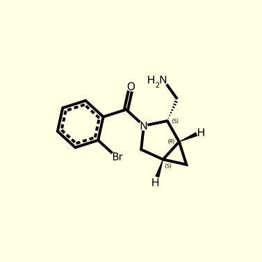 NC[C@@H]1[C@@H]2C[C@@H]2CN1C(=O)c1ccccc1Br